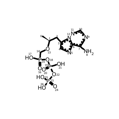 C[C@@H](Cc1cnc2c(N)ncnn12)OCP(=O)(O)OP(=O)(O)OP(=O)(O)O